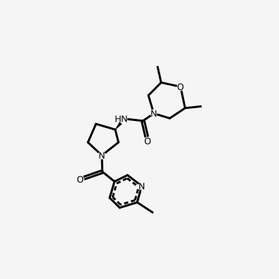 Cc1ccc(C(=O)N2CC[C@@H](NC(=O)N3CC(C)OC(C)C3)C2)cn1